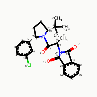 C[C@H](C(=O)N1[C@H](c2cccc(Cl)c2)CC[C@@H]1C(C)(C)C#N)N1C(=O)c2ccccc2C1=O